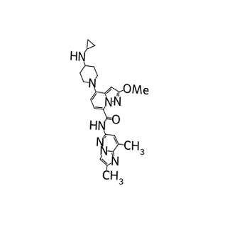 COc1cc2c(N3CCC(NC4CC4)CC3)ccc(C(=O)Nc3cc(C)c4nc(C)cn4n3)n2n1